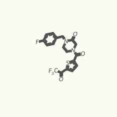 O=C1CN(C(=O)c2ccc(C(=O)C(F)(F)F)s2)CCN1Cc1ccc(F)cc1